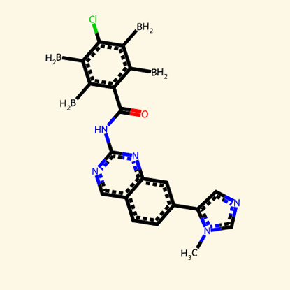 Bc1c(B)c(C(=O)Nc2ncc3ccc(-c4cncn4C)cc3n2)c(B)c(B)c1Cl